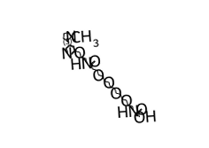 CN1CCC[C@H]1c1cncc(OCCNC(=O)CCOCCOCCOCCOCCNC(=O)O)c1